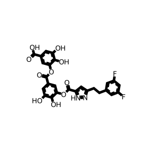 O=C(O)c1cc(O)c(O)c(OC(=O)c2cc(O)c(O)c(OC(=O)c3cc(CCc4cc(F)cc(F)c4)n[nH]3)c2)c1